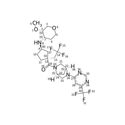 CO[C@@H]1COCC[C@@H]1N[C@@H]1CC[C@](CC(F)(F)F)(C(=O)N2C[C@@H]3C[C@H]2CN3c2cc(C(F)(F)F)ncn2)C1